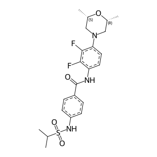 CC(C)S(=O)(=O)Nc1ccc(C(=O)Nc2ccc(N3C[C@@H](C)O[C@@H](C)C3)c(F)c2F)cc1